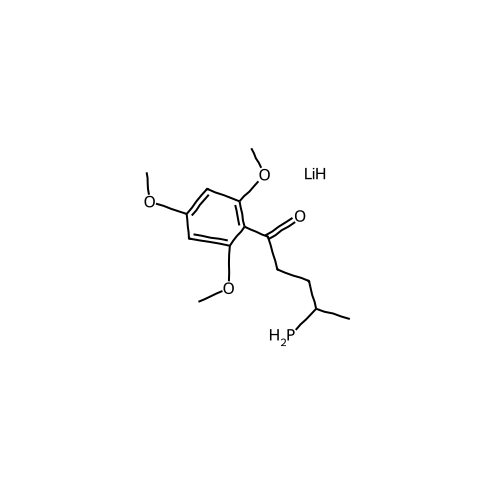 COc1cc(OC)c(C(=O)CCC(C)P)c(OC)c1.[LiH]